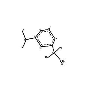 CC(C)c1cncc(C(C)(C)O)c1